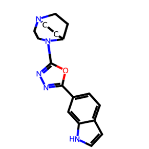 c1cc2ccc(-c3nnc(N4CCN5CCC4CC5)o3)cc2[nH]1